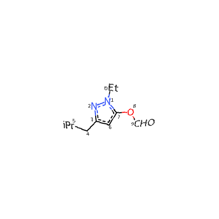 CCn1nc(CC(C)C)cc1OC=O